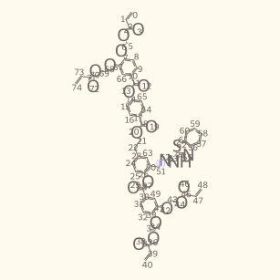 C=CC(=O)OCOc1ccc(C(=O)Oc2ccc(C(=O)OCCc3ccc(OC(=O)c4ccc(OCOC(=O)C=C)c(OCOC(=O)C=C)c4)c(/C=N/Nc4nc5ccccc5s4)c3)cc2)cc1OCOC(=O)C=C